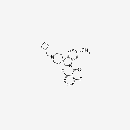 Cc1ccc2c(c1)N(C(=O)c1c(F)cccc1F)CC21CCN(CC2CCC2)CC1